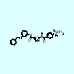 NS(=O)(=O)c1ccc(C(=O)Nc2ncc(C(=O)Nc3cccc(OCc4ccccc4)c3)s2)cc1